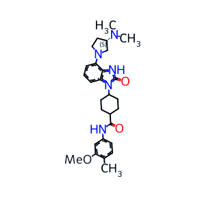 COc1cc(NC(=O)C2CCC(n3c(=O)[nH]c4c(N5CC[C@H](N(C)C)C5)cccc43)CC2)ccc1C